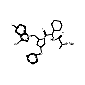 CNC(C)C(=O)NC(C(=O)N1CC(Oc2ccccc2)CC1Cn1cc(C(C)=O)c2cc(F)ccc21)C1CCCCC1